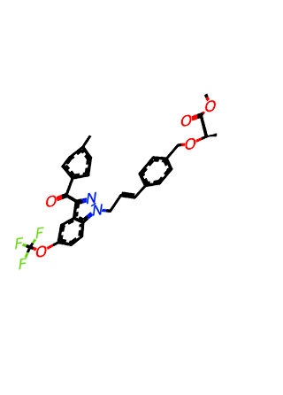 COC(=O)[C@@H](C)OCc1ccc(/C=C/Cn2nc(C(=O)c3ccc(C)cc3)c3cc(OC(F)(F)F)ccc32)cc1